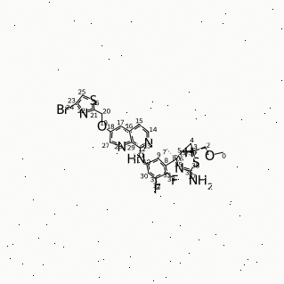 COC[C@]12C[C@H]1[C@](C)(c1cc(Nc3nccc4cc(OCc5nc(Br)cs5)cnc34)cc(F)c1F)N=C(N)S2